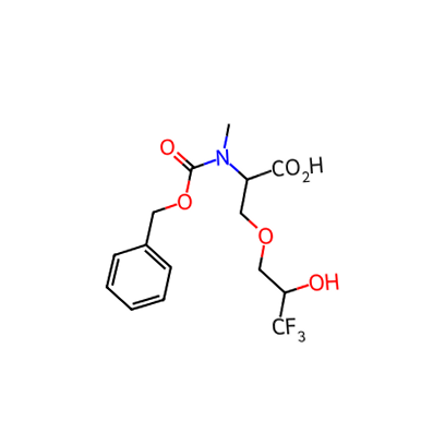 CN(C(=O)OCc1ccccc1)C(COCC(O)C(F)(F)F)C(=O)O